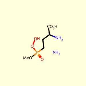 COP(=O)(CCC(N)C(=O)O)OO.N